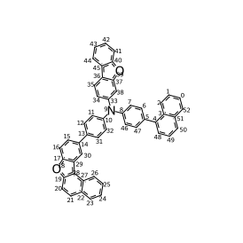 c1ccc2c(-c3ccc(N(c4ccc(-c5ccc6oc7ccc8ccccc8c7c6c5)cc4)c4ccc5c(c4)oc4ccccc45)cc3)cccc2c1